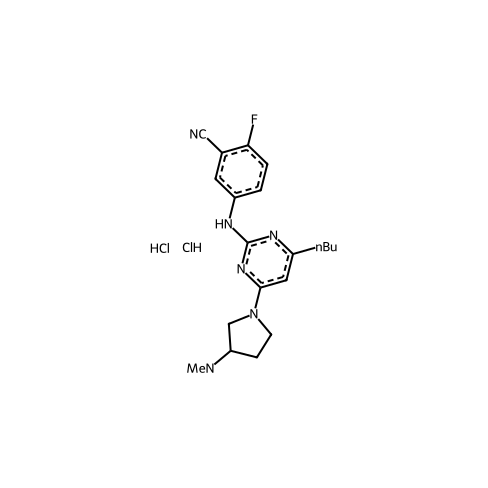 CCCCc1cc(N2CCC(NC)C2)nc(Nc2ccc(F)c(C#N)c2)n1.Cl.Cl